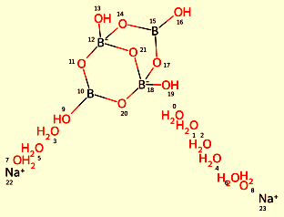 O.O.O.O.O.O.O.O.O.OB1O[B-]2(O)OB(O)O[B-](O)(O1)O2.[Na+].[Na+]